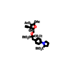 C#C[C@@]1(OC(C)=O)[C@@H](COC(Cc2ccc(N3CCCC3C(=O)OCC)cc2)(C(=O)OCC)C(=O)OCC)OC(OC(C)=O)[C@@H]1OC(C)=O